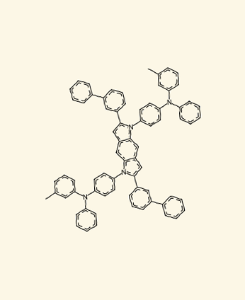 Cc1cccc(N(c2ccccc2)c2ccc(-n3c(-c4cccc(-c5ccccc5)c4)cc4cc5c(cc(-c6cccc(-c7ccccc7)c6)n5-c5ccc(N(c6ccccc6)c6cccc(C)c6)cc5)cc43)cc2)c1